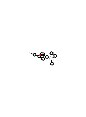 N#Cc1ccc(-c2ccc3c(c2)sc2cccc(C4(c5ccc(-c6nc(-c7ccccc7)nc(-c7cccc8oc9ccccc9c78)n6)cc5)C5CC6CC(C5)CC4C6)c23)cc1